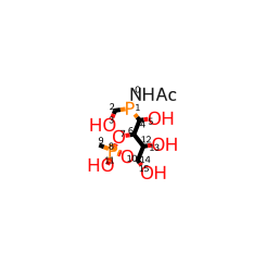 CC(=O)NP(CO)C(O)C(OP(C)(=O)O)C(O)CO